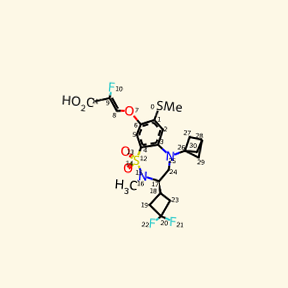 CSc1cc2c(cc1O/C=C(\F)C(=O)O)S(=O)(=O)N(C)[C@H](C1CC(F)(F)C1)CN2C12CC(C1)C2